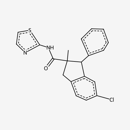 CC1(C(=O)Nc2nccs2)Cc2ccc(Cl)cc2C1c1ccccc1